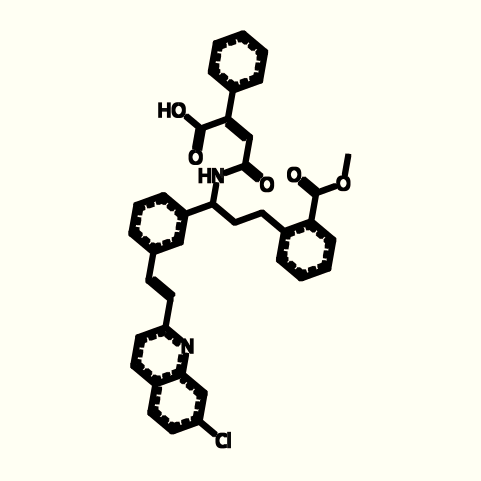 COC(=O)c1ccccc1CCC(NC(=O)/C=C(\C(=O)O)c1ccccc1)c1cccc(/C=C/c2ccc3ccc(Cl)cc3n2)c1